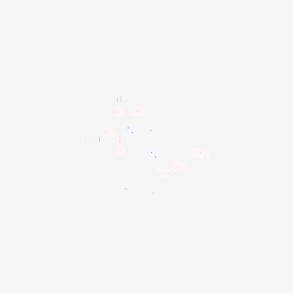 C[C@@H](c1cc2cccc(Cl)c2c(=O)n1CC(O)CO)N(C(=O)OC(C)(C)C)C(=O)OC(C)(C)C